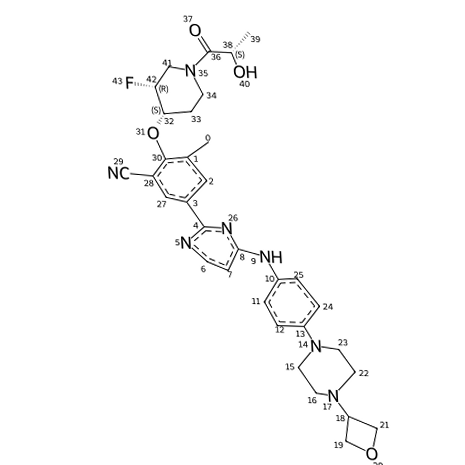 Cc1cc(-c2nccc(Nc3ccc(N4CCN(C5COC5)CC4)cc3)n2)cc(C#N)c1O[C@H]1CCN(C(=O)[C@H](C)O)C[C@H]1F